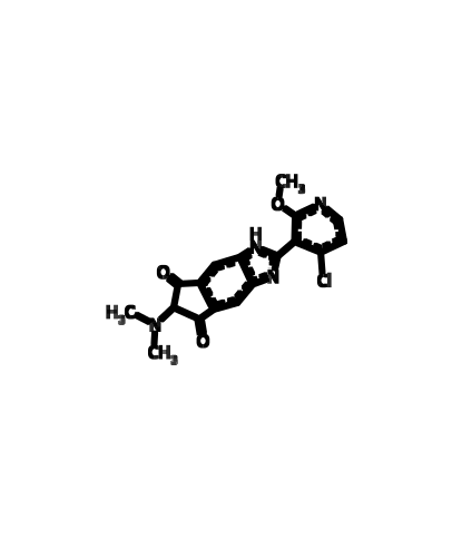 COc1nccc(Cl)c1-c1nc2cc3c(cc2[nH]1)C(=O)C(N(C)C)C3=O